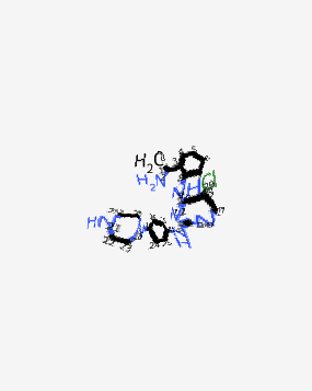 C=C(N)c1ccccc1Nc1nc(Nc2ccc(N3CCNCC3)cc2)ncc1Cl